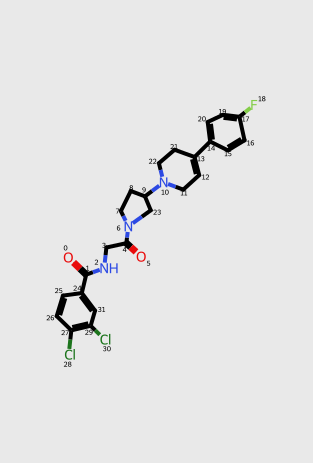 O=C(NCC(=O)N1CCC(N2CC=C(c3ccc(F)cc3)CC2)C1)c1ccc(Cl)c(Cl)c1